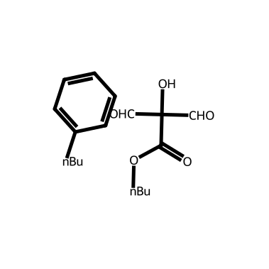 CCCCOC(=O)C(O)(C=O)C=O.CCCCc1ccccc1